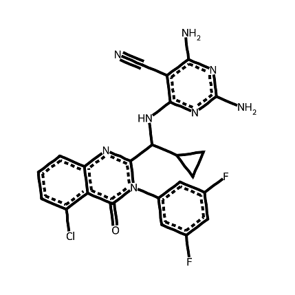 N#Cc1c(N)nc(N)nc1NC(c1nc2cccc(Cl)c2c(=O)n1-c1cc(F)cc(F)c1)C1CC1